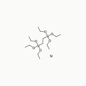 CCO[Si](CC[Si](OCC)(OCC)OCC)(OCC)OCC.[Si]